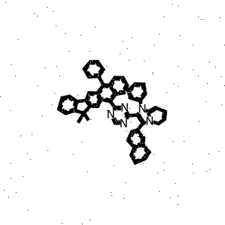 CC1(C)c2ccccc2-c2cc3c(-c4ccccc4)c4ccccc4c(-c4ncnc(C5=C(c6ccc7ccccc7c6)N6CC=CC=C6N5c5ccccc5)n4)c3cc21